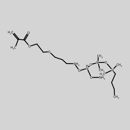 C=C(C)C(=O)OCCOCCC[SiH2]O[SiH](O[SiH3])O[Si](C)(C)O[Si](C)(C)CCCC